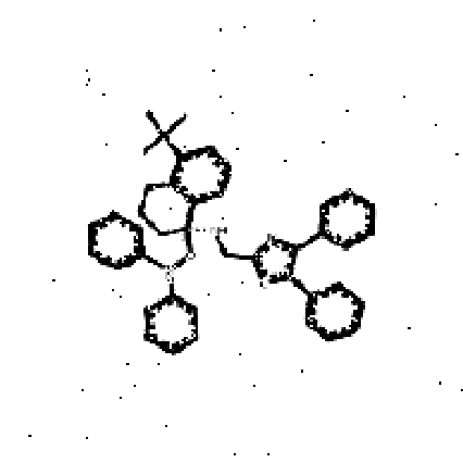 CC(C)(C)c1cccc2c1CCC[C@]2(NCc1nc(-c2ccccc2)c(-c2ccccc2)o1)O[SiH](c1ccccc1)c1ccccc1